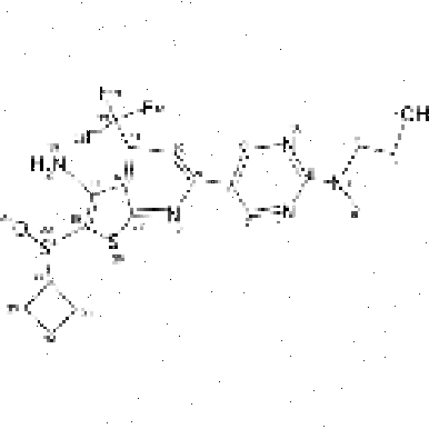 CN(CCO)c1ncc(-c2cc(C(F)(F)F)c3c(N)c([S+]([O-])C4CCC4)sc3n2)cn1